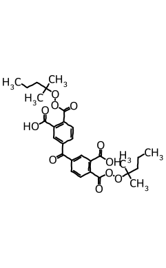 CCCC(C)(C)OOC(=O)c1ccc(C(=O)c2ccc(C(=O)OOC(C)(C)CCC)c(C(=O)O)c2)cc1C(=O)O